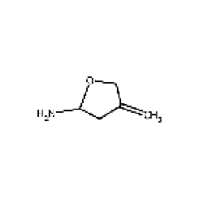 C=C1COC(N)C1